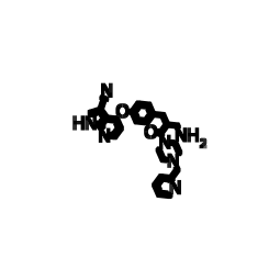 N#Cc1c[nH]c2nccc(Oc3ccc(CC(CN)C(=O)N4CCN(Cc5ccccn5)CC4)cc3)c12